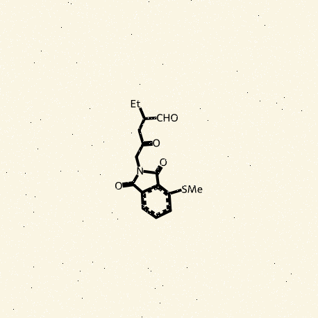 CCC(C=O)CC(=O)CN1C(=O)c2cccc(SC)c2C1=O